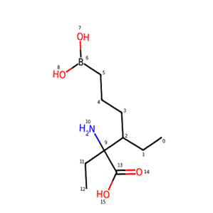 CCC(CCCB(O)O)C(N)(CC)C(=O)O